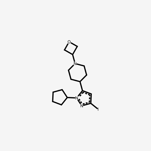 Ic1cc(C2CCN(C3COC3)CC2)n(C2CCCC2)n1